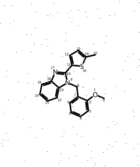 COc1ccccc1Cn1c(-c2ccc(C)s2)nc2ccccc21